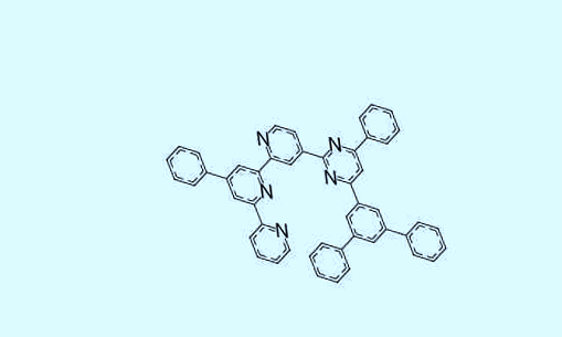 c1ccc(-c2cc(-c3ccccc3)cc(-c3cc(-c4ccccc4)nc(-c4ccnc(-c5cc(-c6ccccc6)cc(-c6ccccn6)n5)c4)n3)c2)cc1